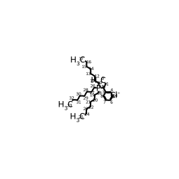 C=CC(c1ccccc1)[P+](CCCCCCCC)(CCCCCCCC)CCCCCCCC.[Cl-]